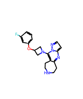 Fc1cccc(OC2CN(c3c4c(nc5ccnn35)CCNCC4)C2)c1